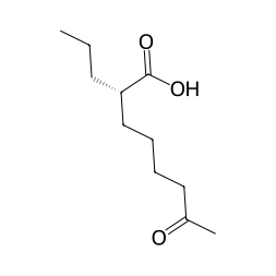 CCC[C@@H](CCCCC(C)=O)C(=O)O